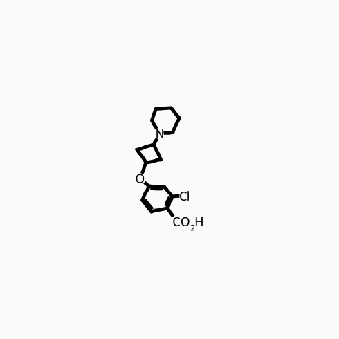 O=C(O)c1ccc(OC2CC(N3CCCCC3)C2)cc1Cl